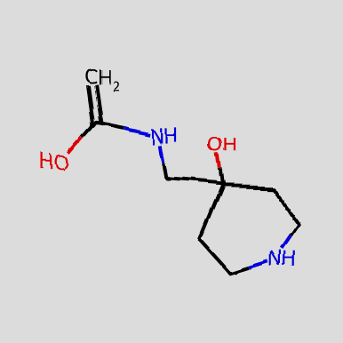 C=C(O)NCC1(O)CCNCC1